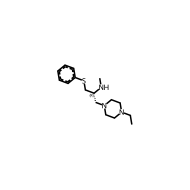 CCN1CCN(C[C@H](CSc2ccccc2)NC)CC1